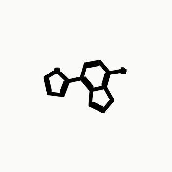 Brc1ccc(-c2ccco2)c2c1CC=C2